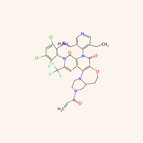 C=CC(=O)N1CCN2c3c(c(=O)n(-c4c(CC)cncc4CC)c4c(=O)n(-c5c(N)c(Cl)cc(Cl)c5F)c(C(F)(F)F)cc34)OCCC2C1